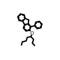 CCCCC(CCC)Oc1ccc2c(c1-c1ccccc1)Cc1ccccc1-2